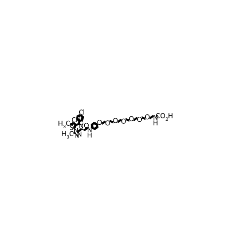 Cc1sc2c(c1C)C(c1ccc(Cl)cc1)=N[C@@H](CC(=O)Nc1ccc(OCCOCCOCCOCCOCCOCCOCCNC(=O)O)cc1)c1nnc(C)n1-2